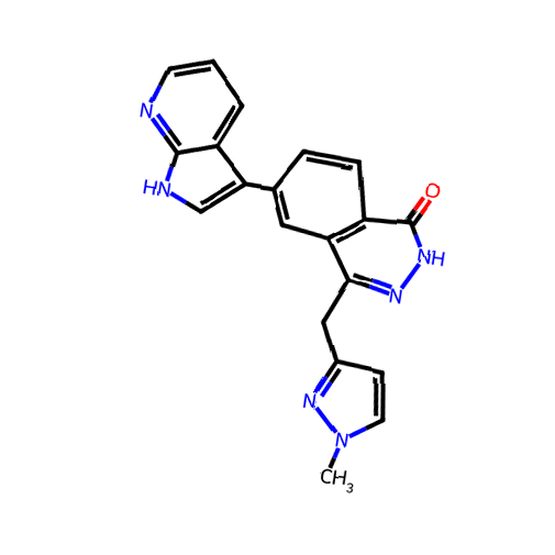 Cn1ccc(Cc2n[nH]c(=O)c3ccc(-c4c[nH]c5ncccc45)cc23)n1